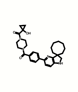 O=C(c1ccc(-c2ccc3c(n2)C2(CCCCCCC2)CN3)cc1)N1CCN(C(=O)C2(O)CC2)CC1